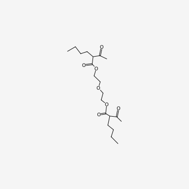 CCCCC(C(C)=O)C(=O)OCCOCCOC(=O)C(CCCC)C(C)=O